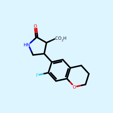 O=C(O)C1C(=O)NCC1c1cc2c(cc1F)OCCC2